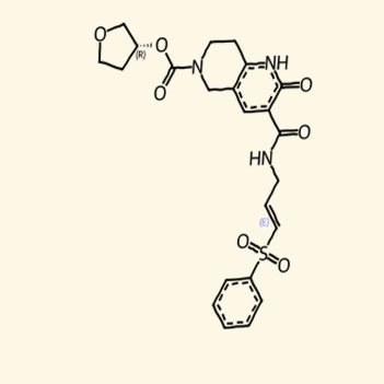 O=C(NC/C=C/S(=O)(=O)c1ccccc1)c1cc2c([nH]c1=O)CCN(C(=O)O[C@@H]1CCOC1)C2